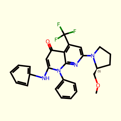 COC[C@@H]1CCCN1c1cc(C(F)(F)F)c2c(=O)cc(Nc3ccccc3)n(-c3ccccc3)c2n1